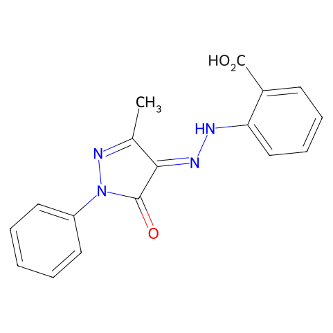 CC1=NN(c2ccccc2)C(=O)/C1=N/Nc1ccccc1C(=O)O